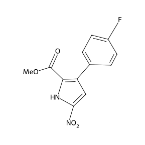 COC(=O)c1[nH]c([N+](=O)[O-])cc1-c1ccc(F)cc1